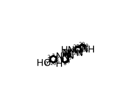 O[C@H]1CC[C@@H](Nc2cccc3nc(Nc4cnc5[nH]ccc5c4)nn23)CC1